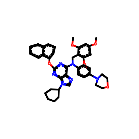 COc1cc(OC)c(CN(c2ccc(N3CCOCC3)cc2)c2nc(Oc3cccc4ccccc34)nc3c2ncn3C2CCCCC2)c(OC)c1